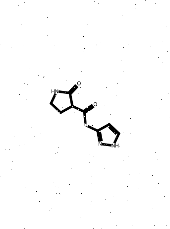 O=C1NCCC1C(=O)Oc1cc[nH]n1